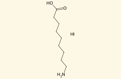 I.NCCCCCCCCC(=O)O